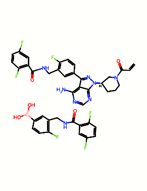 C=CC(=O)N1CCC[C@@H](n2nc(-c3ccc(F)c(CNC(=O)c4cc(F)ccc4F)c3)c3c(N)ncnc32)C1.O=C(NCc1cc(B(O)O)ccc1F)c1cc(F)ccc1F